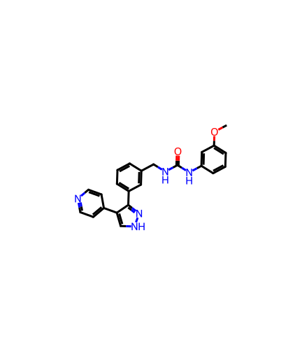 COc1cccc(NC(=O)NCc2cccc(-c3n[nH]cc3-c3ccncc3)c2)c1